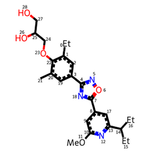 CCc1cc(-c2noc(-c3cc(OC)nc(C(CC)CC)c3)n2)cc(C)c1OCC(O)CO